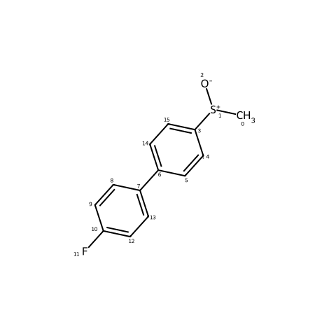 C[S+]([O-])c1[c]cc(-c2ccc(F)cc2)cc1